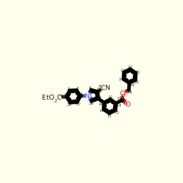 CCOC(=O)c1ccc(-n2cc(C#N)c(-c3cccc(C(=O)OCc4ccccc4)c3)c2)cc1